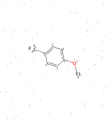 C[CH]Oc1ccc(C(F)(F)F)cc1